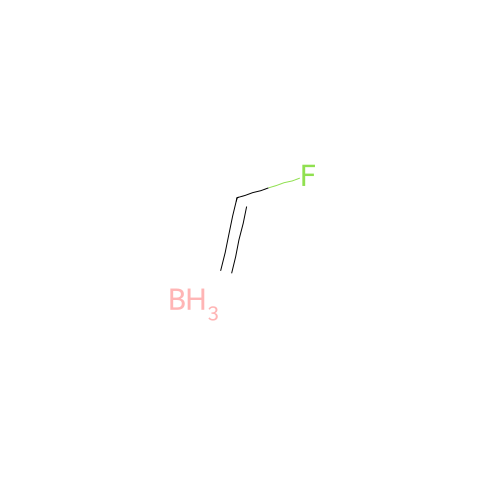 B.C=CF